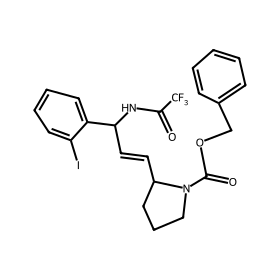 O=C(OCc1ccccc1)N1CCCC1C=CC(NC(=O)C(F)(F)F)c1ccccc1I